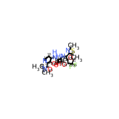 Cc1nc([C@H](Nc2c(Nc3ccnc(C(=O)N(C)C)c3O)c(=O)c2=O)C2(C)CC(F)(F)CO2)c(C)s1